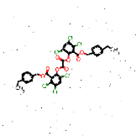 CCc1ccc(COC(=O)c2c(Cl)c(Cl)cc(Cl)c2OC(=O)C(=O)Oc2c(Cl)cc(Cl)c(Cl)c2C(=O)OCc2ccc(CC)cc2)cc1